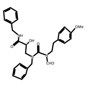 COc1ccc(CCN([C]=O)C(=O)N(Cc2ccccc2)C[C@H](O)C(=O)NCc2ccccc2)cc1